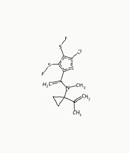 C=C(c1sc(Cl)c(SF)c1SF)N(C)C1(C(=C)C)CC1